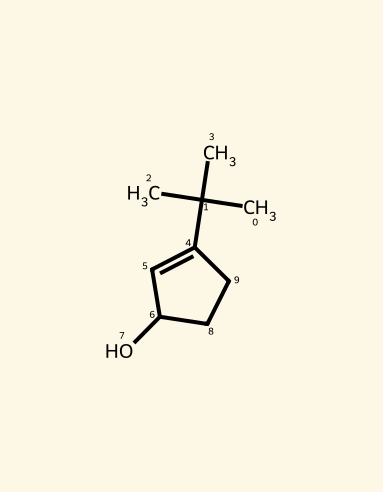 CC(C)(C)C1=CC(O)CC1